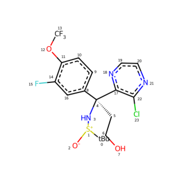 CC(C)(C)[S+]([O-])N[C@@](CCO)(c1ccc(OC(F)(F)F)c(F)c1)c1nccnc1Cl